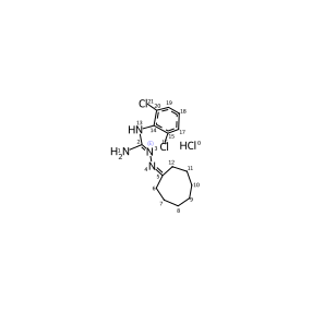 Cl.N/C(=N\N=C1CCCCCCC1)Nc1c(Cl)cccc1Cl